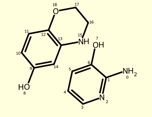 Nc1ncccc1O.Oc1ccc2c(c1)NCCO2